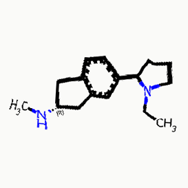 CCN1CCCC1c1ccc2c(c1)C[C@H](NC)C2